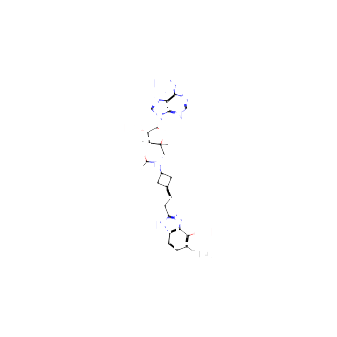 CC1O[C@H]2[C@@H](O)[C@H](n3cnc4c(N)ncnc43)O[C@@H]2CN1C1CC(=CCc2nc3c(O)c(C(C)(C)C)ccc3[nH]2)C1